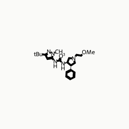 COCCN1C[C@H](NC(=O)Nc2cc(C(C)(C)C)nn2C)[C@@H](c2ccccc2)C1